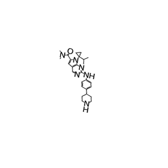 CC(C)C1(n2c(C(=O)N(C)C)cc3cnc(Nc4ccc(C5CCNCC5)cc4)nc32)CC1